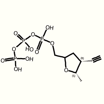 C#C[C@H]1CC(COP(=O)(O)OP(=O)(O)OP(=O)(O)O)O[C@H]1C